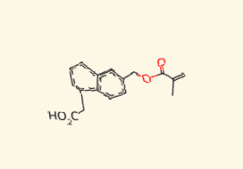 C=C(C)C(=O)OCc1ccc2c(CC(=O)O)cccc2c1